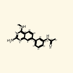 CNc1nc(N)nc2cc(-c3cccc(NC(C)=O)c3)ccc12